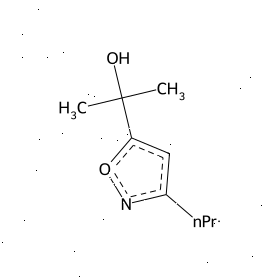 CC[CH]c1cc(C(C)(C)O)on1